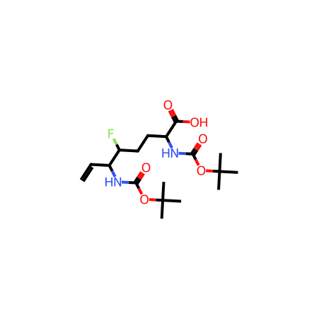 C=CC(NC(=O)OC(C)(C)C)C(F)CCC(NC(=O)OC(C)(C)C)C(=O)O